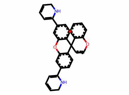 C1=CCNC(c2ccc3c(c2)Oc2cc(C4=CC=CCN4)ccc2C32c3ccccc3Oc3ccccc32)=C1